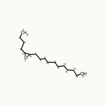 CCCCC1OC1CCCCCCCCCCO